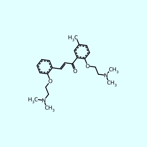 Cc1ccc(OCCN(C)C)c(C(=O)C=Cc2ccccc2OCCN(C)C)c1